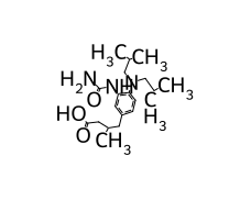 CC(C)CN(CC(C)C)c1ccc(CC(C)CC(=O)O)cc1NC(N)=O